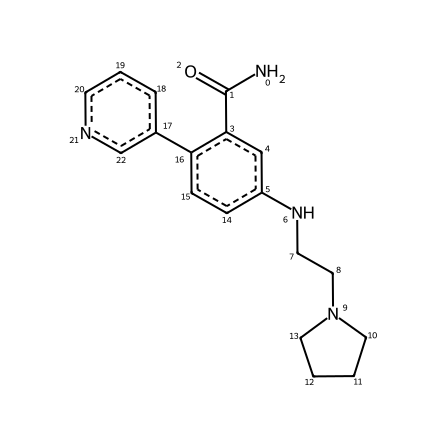 NC(=O)c1cc(NCCN2CCCC2)ccc1-c1cccnc1